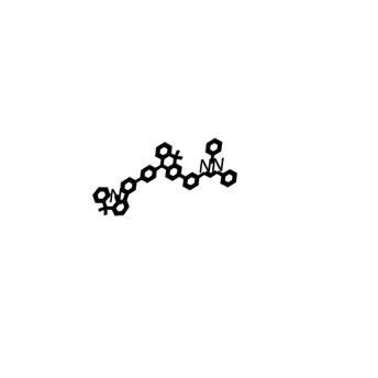 CC1(C)c2ccccc2C(c2ccc(-c3ccc4c(c3)c3cccc5c3n4-c3ccccc3C5(C)C)cc2)c2ccc(-c3cccc(-c4cc(-c5ccccc5)nc(-c5ccccc5)n4)c3)cc21